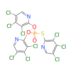 O=P(Oc1ncc(Cl)c(Cl)c1Cl)(Oc1ncc(Cl)c(Cl)c1Cl)Sc1ncc(Cl)c(Cl)c1Cl